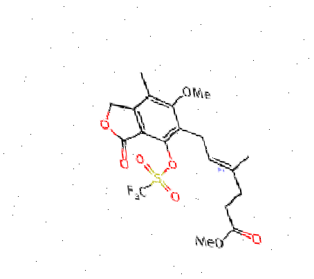 COC(=O)CC/C(C)=C/Cc1c(OC)c(C)c2c(c1OS(=O)(=O)C(F)(F)F)C(=O)OC2